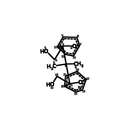 CC(C)(C1(CO)Oc2ccc1cc2)C1(CO)Oc2ccc1cc2